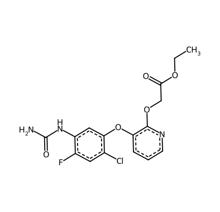 CCOC(=O)COc1ncccc1Oc1cc(NC(N)=O)c(F)cc1Cl